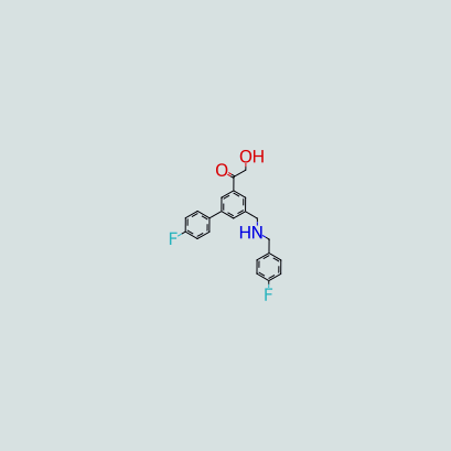 O=C(CO)c1cc(CNCc2ccc(F)cc2)cc(-c2ccc(F)cc2)c1